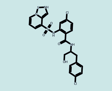 O=C(NC(CO)Cc1ccc(Cl)cc1)c1ccc(Cl)cc1NS(=O)(=O)C1=CC=CN2SNC=C12